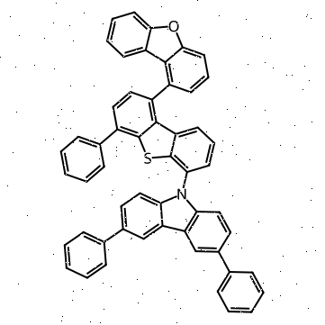 c1ccc(-c2ccc3c(c2)c2cc(-c4ccccc4)ccc2n3-c2cccc3c2sc2c(-c4ccccc4)ccc(-c4cccc5oc6ccccc6c45)c23)cc1